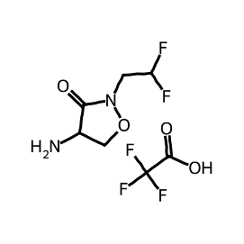 NC1CON(CC(F)F)C1=O.O=C(O)C(F)(F)F